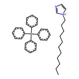 CCCCCCCCCCC[NH+]1C=CN=C1.c1ccc([B-](c2ccccc2)(c2ccccc2)c2ccccc2)cc1